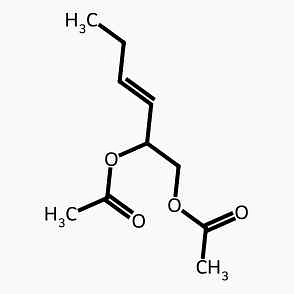 CCC=CC(COC(C)=O)OC(C)=O